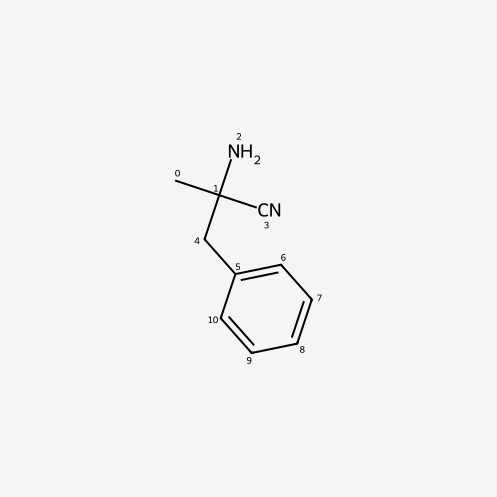 CC(N)(C#N)Cc1ccccc1